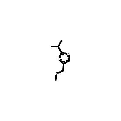 CSCc1cnc(C(C)C)s1